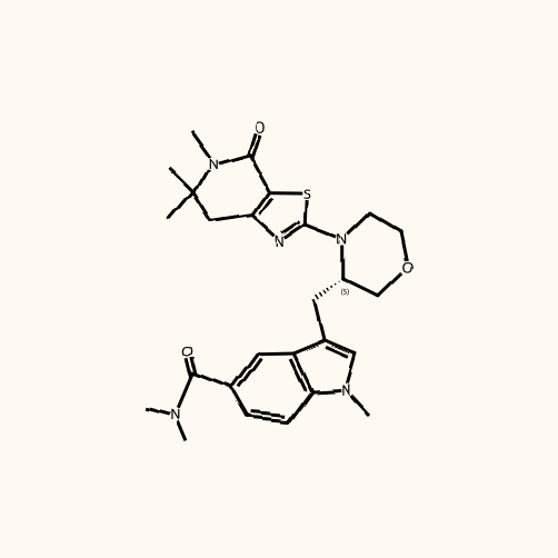 CN(C)C(=O)c1ccc2c(c1)c(C[C@H]1COCCN1c1nc3c(s1)C(=O)N(C)C(C)(C)C3)cn2C